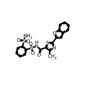 Cc1nc(-c2cc3ccccc3o2)sc1C(=O)NS(=O)(=O)c1ccccc1S(N)(=O)=O